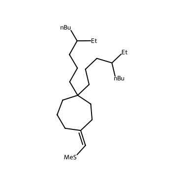 CCCCC(CC)CCCC1(CCCC(CC)CCCC)CCC/C(=C\SC)CC1